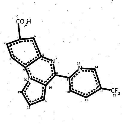 O=C(O)c1ccc2c(c1)nc(-c1ccc(C(F)(F)F)cn1)c1cccn12